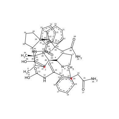 CC1C[C@H](C2CCCN2[C@@]2(C(=O)NC(=O)O)c3ccc(cc3)C2(C)CC(N)=O)N(c2ccccc2)[C@@]1(C)C1CCCN1[C@@]1(C(=O)NC(=O)O)c2ccc(cc2)C1(C)CC(N)=O